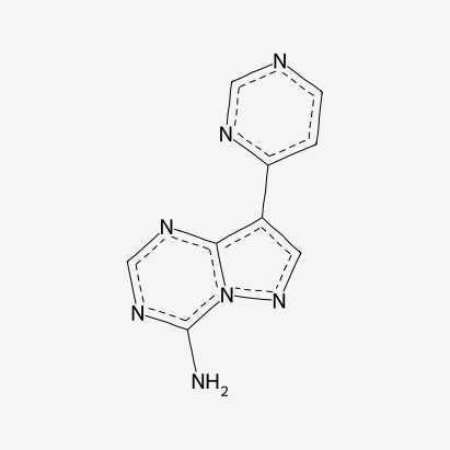 Nc1ncnc2c(-c3ccncn3)cnn12